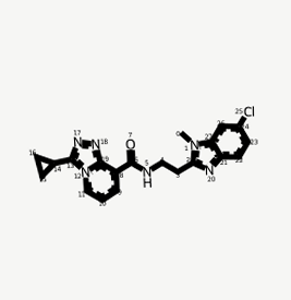 Cn1c(CCNC(=O)c2cccn3c(C4CC4)nnc23)nc2ccc(Cl)cc21